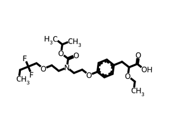 CCOC(Cc1ccc(OCCN(CCOCC(F)(F)CC)C(=O)OC(C)C)cc1)C(=O)O